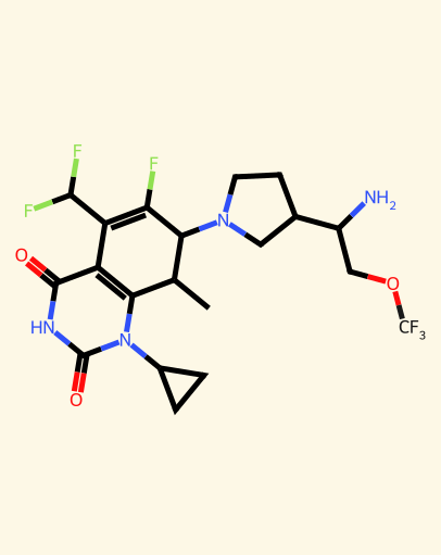 CC1c2c(c(=O)[nH]c(=O)n2C2CC2)C(C(F)F)=C(F)C1N1CCC(C(N)COC(F)(F)F)C1